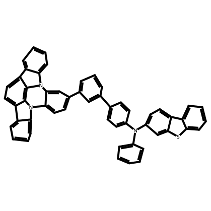 c1ccc(N(c2ccc(-c3cccc(-c4ccc5c(c4)n4c6ccccc6c6ccc7c8ccccc8n5c7c64)c3)cc2)c2ccc3c(c2)sc2ccccc23)cc1